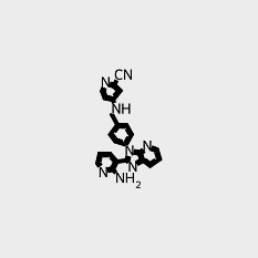 N#Cc1cc(NCc2ccc(-n3c(-c4cccnc4N)nc4cccnc43)cc2)ccn1